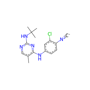 [C-]#[N+]c1ccc(Nc2nc(NC(C)(C)C)ncc2C)cc1Cl